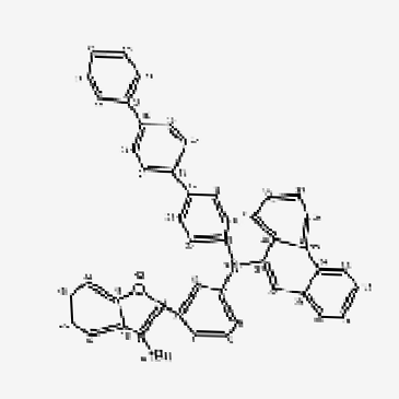 CC(C)(C)c1c(-c2cccc(N(c3ccc(-c4ccc(-c5ccccc5)cc4)cc3)c3cc4ccccc4c4ccccc34)c2)oc2ccccc12